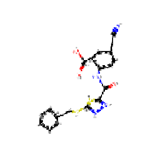 N#Cc1ccc(NC(=O)c2nnc(SCc3ccccc3)s2)c(C(=O)O)c1